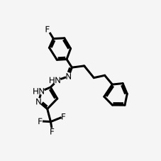 Fc1ccc(/C(CCCc2ccccc2)=N\Nc2cc(C(F)(F)F)n[nH]2)cc1